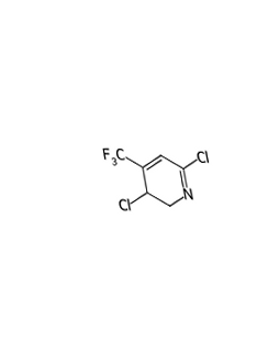 FC(F)(F)C1=CC(Cl)=NCC1Cl